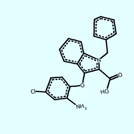 Nc1cc(Cl)ccc1Oc1c(C(=O)O)n(Cc2ccccc2)c2ccccc12